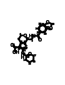 O=C(NCC1OCCc2c1sc(NC1CCCCO1)c2C(=O)O)c1ccc2c(c1)OCO2